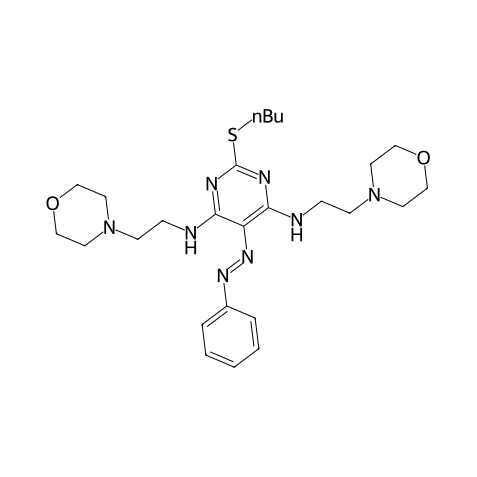 CCCCSc1nc(NCCN2CCOCC2)c(/N=N/c2ccccc2)c(NCCN2CCOCC2)n1